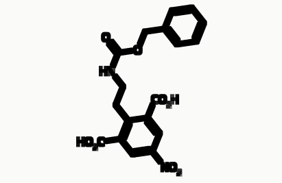 O=C(NCCc1c(C(=O)O)cc([N+](=O)[O-])cc1C(=O)O)OCc1ccccc1